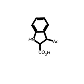 CC(=O)C1c2ccccc2NC1C(=O)O